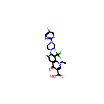 CCn1cc(C(=O)O)c(=O)c2cc(F)c(N3CCN(c4ncc(Cl)cn4)CC3)c(C(F)(F)F)c21